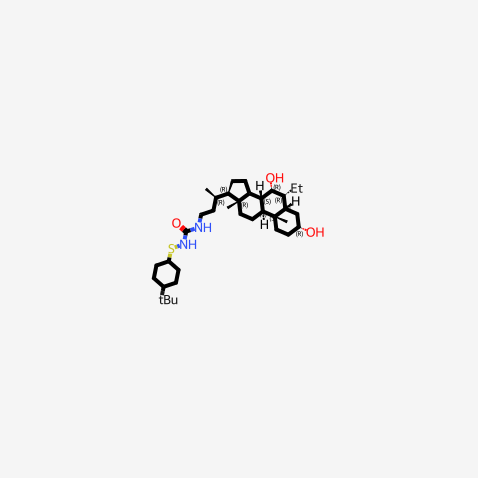 CC[C@H]1[C@@H](O)[C@H]2C3CC[C@H]([C@H](C)CCNC(=O)NSC4CCC(C(C)(C)C)CC4)[C@@]3(C)CC[C@@H]2[C@@]2(C)CC[C@@H](O)C[C@@H]12